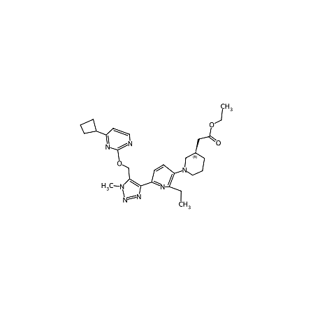 CCOC(=O)C[C@H]1CCCN(c2ccc(-c3nnn(C)c3COc3nccc(C4CCC4)n3)nc2CC)C1